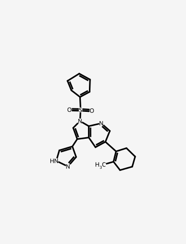 CC1=C(c2cnc3c(c2)c(-c2cn[nH]c2)cn3S(=O)(=O)c2ccccc2)CCCC1